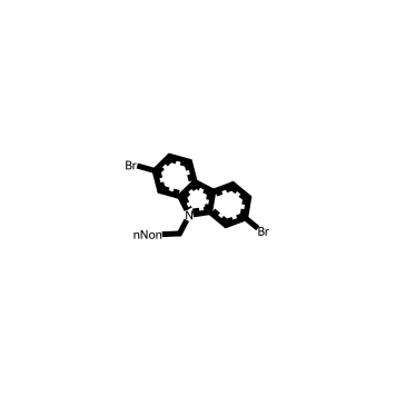 CCCCCCCCCCn1c2cc(Br)ccc2c2ccc(Br)cc21